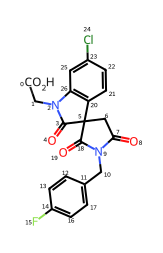 O=C(O)CN1C(=O)C2(CC(=O)N(Cc3ccc(F)cc3)C2=O)c2ccc(Cl)cc21